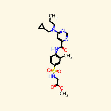 CCCN(CC1CC1)c1cc(C(=O)Nc2ccc(S(=O)(=O)NCC(=O)OC)cc2C)ncn1